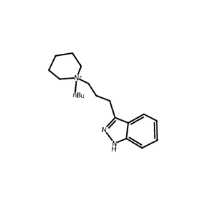 CCCC[N+]1(CCCc2n[nH]c3ccccc23)CCCCC1